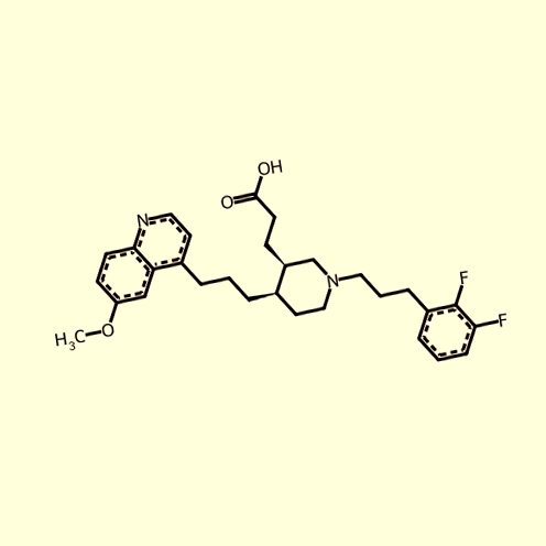 COc1ccc2nccc(CCC[C@@H]3CCN(CCCc4cccc(F)c4F)C[C@@H]3CCC(=O)O)c2c1